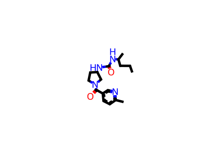 CCCC(C)NC(=O)N[C@@H]1CCN(C(=O)c2ccc(C)nc2)C1